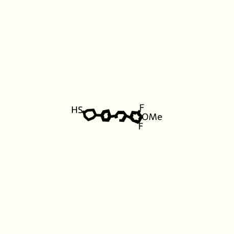 C=C(/C=C\C(=C/C)c1cc(F)c(OC)c(F)c1)c1ccc(C2CCCC(S)CC2)cc1